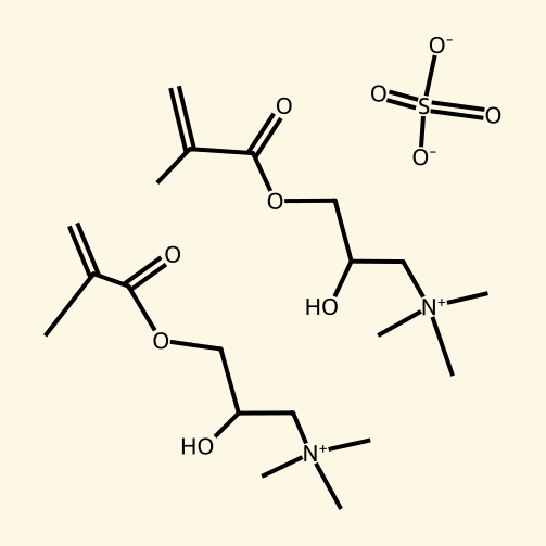 C=C(C)C(=O)OCC(O)C[N+](C)(C)C.C=C(C)C(=O)OCC(O)C[N+](C)(C)C.O=S(=O)([O-])[O-]